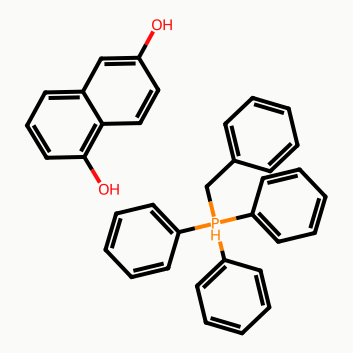 Oc1ccc2c(O)cccc2c1.c1ccc(C[PH](c2ccccc2)(c2ccccc2)c2ccccc2)cc1